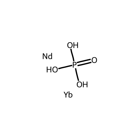 O=P(O)(O)O.[Nd].[Yb]